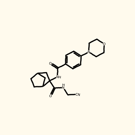 N#CCNC(=O)C1(NC(=O)c2ccc(N3CCOCC3)cc2)CC2CCC1C2